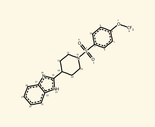 O=S(=O)(c1ccc(OC(F)(F)F)cc1)N1CCC(c2nc3ccccc3[nH]2)CC1